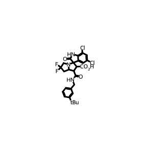 CC(C)(C)c1cccc(CNC(=O)C2C3CC(F)(F)CN3C3(C(=O)Nc4c(Cl)cc(Cl)cc43)C2C(=O)O)c1